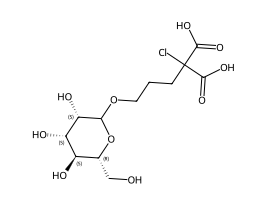 O=C(O)C(Cl)(CCCOC1O[C@H](CO)[C@@H](O)[C@H](O)[C@@H]1O)C(=O)O